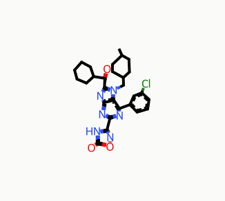 CC1CCC(Cn2c(C(=O)C3CCCCC3)nc3nc(-c4noc(=O)[nH]4)nc(-c4cccc(Cl)c4)c32)CC1